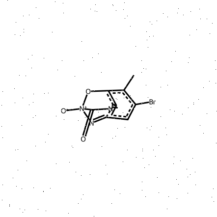 Cc1c(Br)cc2c3c1O[N+]([O-])(N=2)C(=O)N=3